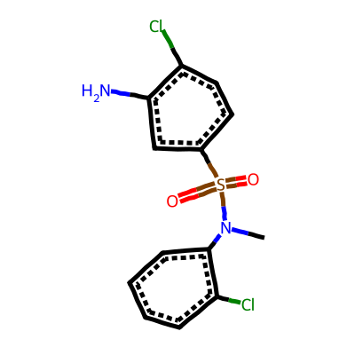 CN(c1ccccc1Cl)S(=O)(=O)c1ccc(Cl)c(N)c1